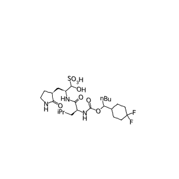 CCCCC(OC(=O)N[C@@H](CC(C)C)C(=O)N[C@@H](C[C@@H]1CCNC1=O)C(O)S(=O)(=O)O)C1CCC(F)(F)CC1